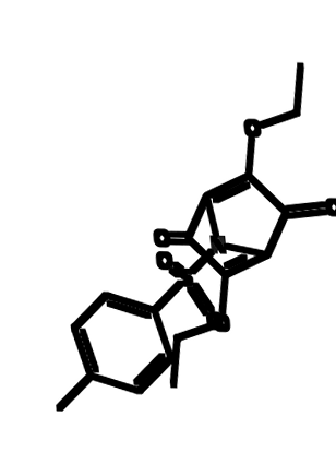 CCOC1=C2C(=O)C(OCC)=C(C1=O)N2S(=O)(=O)c1ccc(C)cc1